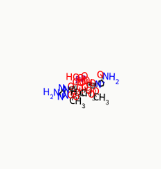 CC(=O)OC1C(OC(C)=O)[C@@H](COP(=O)(O)OP(=O)(O)OC[C@H]2O[C@@H]([n+]3cccc(C(N)=O)c3)C(OC(C)=O)C2OC(C)=O)O[C@H]1n1cnc2c(N)ncnc21